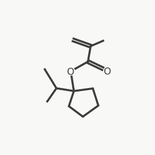 C=C(C)C(=O)OC1(C(C)C)CCCC1